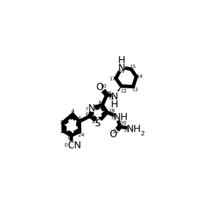 N#Cc1cccc(-c2nc(C(=O)N[C@H]3CCCNC3)c(NC(N)=O)s2)c1